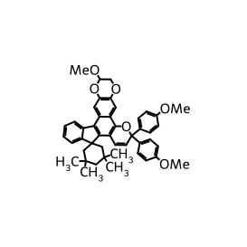 COc1ccc(C2(c3ccc(OC)cc3)C=Cc3c4c(c5cc6c(cc5c3O2)OCC(OC)O6)-c2ccccc2C42CC(C)(C)CC(C)(C)C2)cc1